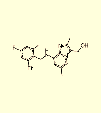 CCc1cc(F)cc(C)c1CNc1cc(C)cn2c(CO)c(C)nc12